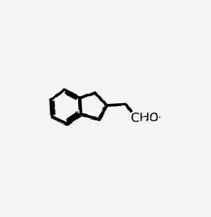 O=[C]CC1Cc2ccccc2C1